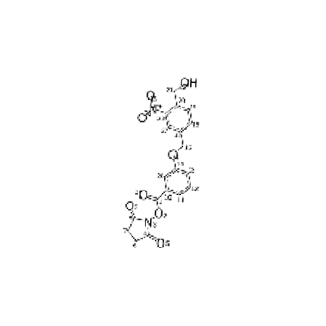 O=C(ON1C(=O)CCC1=O)c1cccc(OCc2ccc(CO)c([N+](=O)[O-])c2)c1